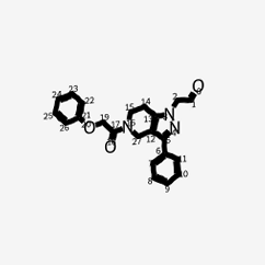 O=CCn1nc(-c2ccccc2)c2c1CCN(C(=O)COc1ccccc1)C2